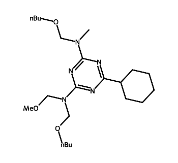 CCCCOCN(C)c1nc(C2CCCCC2)nc(N(COC)COCCCC)n1